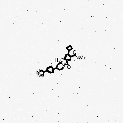 CNC(=O)c1cc(C(=O)N2CCC(c3ccc(C4C=NN=C4)cc3)CC2)c(C)cc1C1CCC1